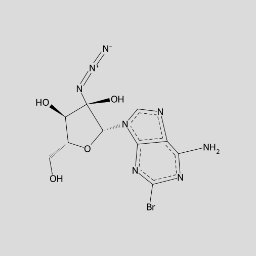 [N-]=[N+]=N[C@@]1(O)[C@H](O)[C@@H](CO)O[C@H]1n1cnc2c(N)nc(Br)nc21